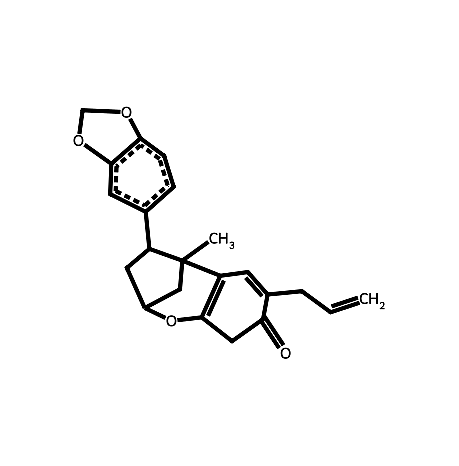 C=CCC1=CC2=C(CC1=O)OC1CC(c3ccc4c(c3)OCO4)C2(C)C1